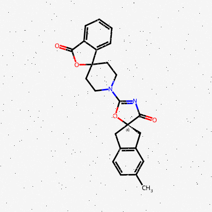 Cc1ccc2c(c1)C[C@@]1(C2)OC(N2CCC3(CC2)OC(=O)c2ccccc23)=NC1=O